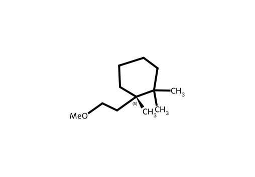 COCC[C@]1(C)CCCCC1(C)C